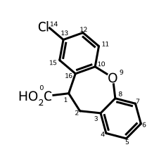 O=C(O)C1Cc2ccccc2Oc2ccc(Cl)cc21